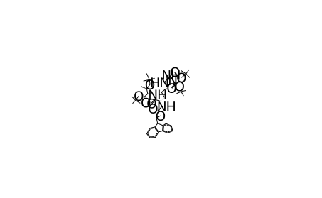 C[C@@H](OC(C)(C)C)[C@H](NC(=O)[C@H](CCCNC(=N)N(C(=O)OC(C)(C)C)C(=O)OC(C)(C)C)NC(=O)OCC1c2ccccc2-c2ccccc21)C(=O)OC(C)(C)C